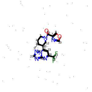 C[C@@H]1CCN(C(=O)c2cocn2)C[C@H]1c1cc(C(F)F)nc2ncnn12